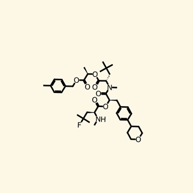 CN[C@@H](CC(C)(C)F)C(=O)O[C@H](Cc1ccc(C2CCOCC2)cc1)C(=O)N(C)[C@@H](CC(C)(C)C)C(=O)O[C@H](C)C(=O)OCc1ccc(C)cc1